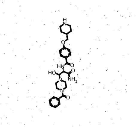 NC(=O)[C@H](NC(=O)c1ccc(OCC2CCNCC2)cc1)C(O)N1CCN(C(=O)c2ccccc2)CC1